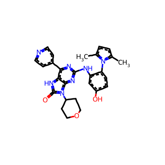 Cc1ccc(C)n1-c1ccc(O)cc1Nc1nc(-c2ccncc2)c2[nH]c(=O)n(C3CCOCC3)c2n1